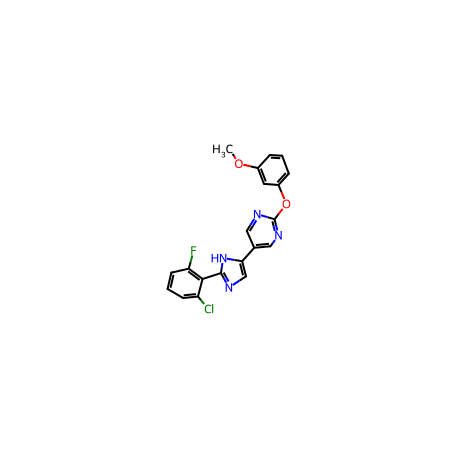 COc1cccc(Oc2ncc(-c3cnc(-c4c(F)cccc4Cl)[nH]3)cn2)c1